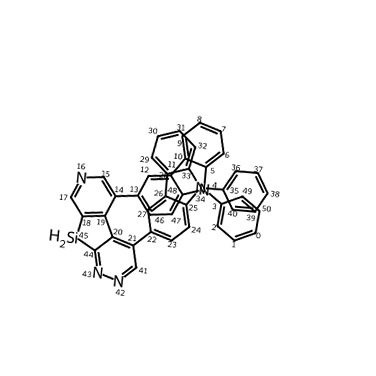 c1ccc(-n2c3ccccc3c3cc(-c4cncc5c4-c4c(-c6ccc7c(c6)c6ccccc6n7-c6ccccc6)cnnc4[SiH2]5)ccc32)cc1